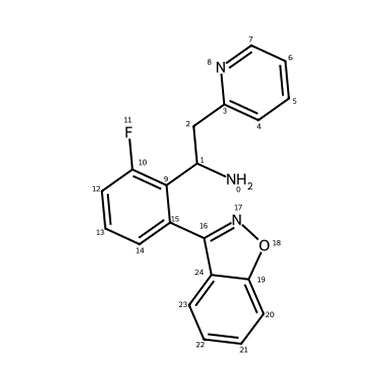 NC(Cc1ccccn1)c1c(F)cccc1-c1noc2ccccc12